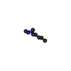 c1ccc(-c2ccc3cc(-c4ccc5c(ccc6c5c5ccccc5n6-c5ccc6ccccc6c5)c4)ccc3c2)cc1